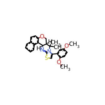 COc1ccc(OC)c(C2=CSC3=N[C@@H]4c5c(ccc6ccccc56)OC[C@@H]4C(C)(C)N23)c1